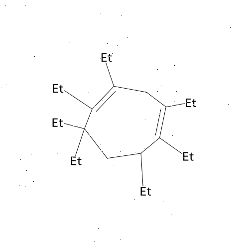 CCC1=C(CC)C(CC)CC(CC)(CC)C(CC)=C(CC)C1